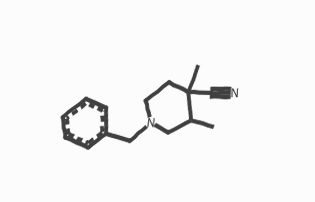 CC1CN(Cc2ccccc2)CCC1(C)C#N